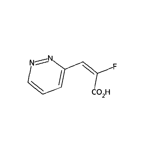 O=C(O)/C(F)=C\c1cccnn1